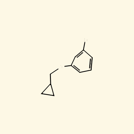 Brc1ccc[c]([Zn][CH2]C2CC2)c1